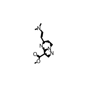 COC(=O)c1cnn2ccc(/C=C/N(C)C)nc12